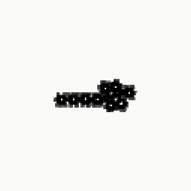 c1ccc(-c2ccc(-c3ccc(-c4ccc(-n5c(-c6ccccc6)c(-c6c(-c7ccccc7)n(-c7ccccc7)c7ccccc67)c6ccccc65)cc4)cc3)cc2)cc1